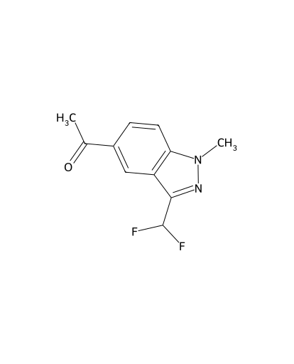 CC(=O)c1ccc2c(c1)c(C(F)F)nn2C